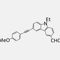 CCn1c2ccc(C#Cc3ccc(OC)cc3)cc2c2cc(C=O)ccc21